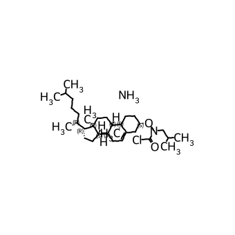 CC(C)CCC[C@@H](C)[C@H]1CC[C@H]2[C@@H]3CC=C4C[C@@H](ON(CC(C)C)C(=O)Cl)CC[C@]4(C)[C@H]3CC[C@]12C.N